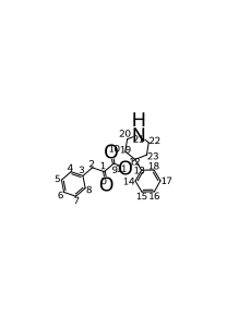 O=C(Cc1ccccc1)C(=O)OC1(c2ccccc2)CCNCC1